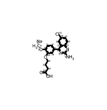 COc1ccc(-c2nc(N)nc3ccc(Cl)cc23)cc1OCCCC(=O)O.[Na]